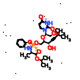 CC(C)C#C[C@H](O)C(COP(=S)(NC(C)C(=O)OC(C)C)Oc1ccccc1)O[C@H](CO)n1ccc(=O)[nH]c1=O